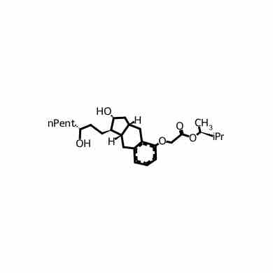 CCCCC[C@@H](O)CC[C@@H]1[C@H]2Cc3cccc(OCC(=O)O[C@@H](C)C(C)C)c3C[C@H]2C[C@H]1O